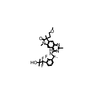 COCCC1(C)C(=O)N(C)c2cc3c(N[C@H](C)c4cccc(C(F)(F)C(C)(C)O)c4F)nc(C)nc3cc21